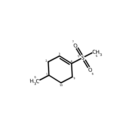 CC1CC=C(S(C)(=O)=O)CC1